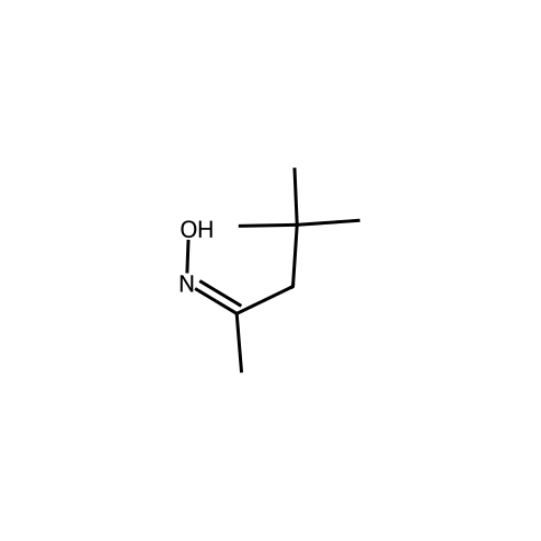 CC(CC(C)(C)C)=NO